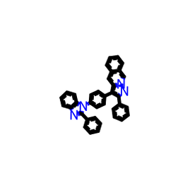 c1ccc(-c2nn3cc4ccccc4cc3c2-c2ccc(-n3c(-c4ccccc4)nc4ccccc43)cc2)cc1